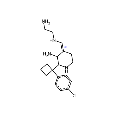 NCCN/C=C1/CCNC(C2(c3ccc(Cl)cc3)CCC2)C1N